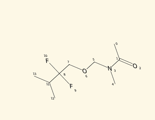 CC(=O)N(C)COCC(F)(F)C(C)C